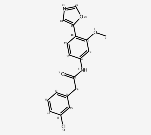 COc1cc(NC(=O)Cc2cccc(Cl)c2)ccc1-c1cnco1